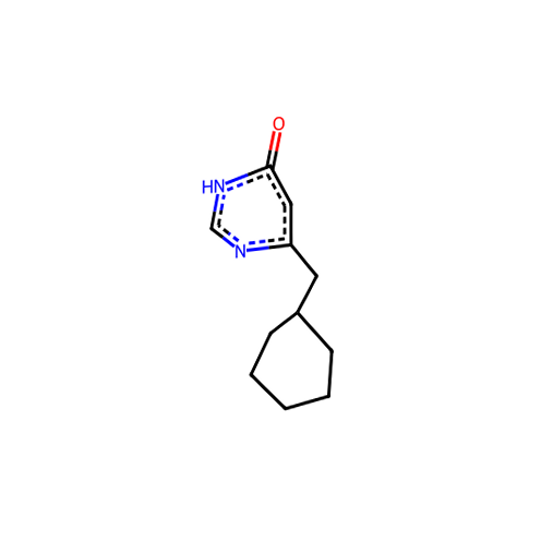 O=c1cc(CC2CCCCC2)nc[nH]1